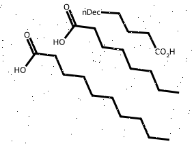 CCCCCCCC(=O)O.CCCCCCCCCC(=O)O.CCCCCCCCCCCCCC(=O)O